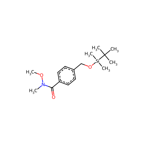 CON(C)C(=O)c1ccc(CO[Si](C)(C)C(C)(C)C)cc1